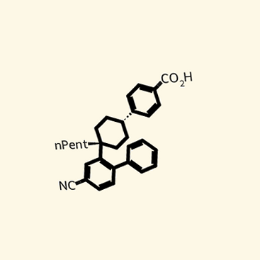 CCCCC[C@]1(c2cc(C#N)ccc2-c2ccccc2)CC[C@@H](c2ccc(C(=O)O)cc2)CC1